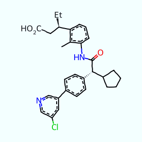 CC[C@H](CC(=O)O)c1cccc(NC(=O)[C@@H](c2ccc(-c3cncc(Cl)c3)cc2)C2CCCC2)c1C